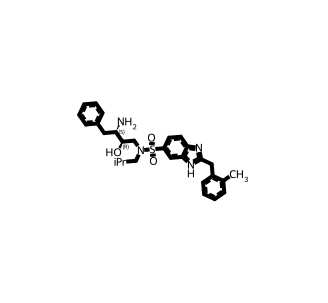 Cc1ccccc1Cc1nc2ccc(S(=O)(=O)N(CC(C)C)C[C@@H](O)[C@@H](N)Cc3ccccc3)cc2[nH]1